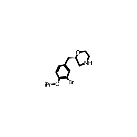 CC(C)Oc1ccc(C[C@@H]2CNCCO2)cc1Br